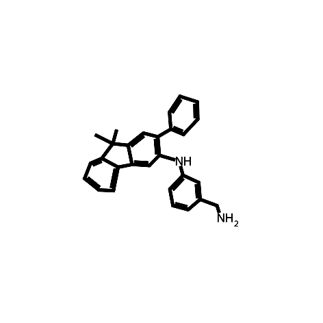 CC1(C)c2ccccc2-c2cc(Nc3cccc(CN)c3)c(-c3ccccc3)cc21